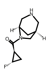 O=C([C@H]1C[C@@H]1F)N1C[C@@H]2CNC[C@H]1C2